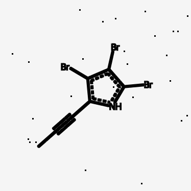 CC#Cc1[nH]c(Br)c(Br)c1Br